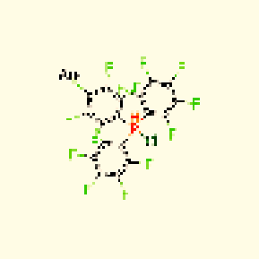 Fc1c(F)c(F)c([PH](Cl)(c2c(F)c(F)c(F)c(F)c2F)c2c(F)c(F)c(F)c(F)c2F)c(F)c1F.[Au]